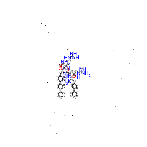 N=C(N)NCCC[C@H](NC(=O)[C@H](Cc1ccc(-c2ccc(-c3ccccc3)cc2)cc1)NC(=O)[C@H](CCCNC(=N)N)NC(=O)[C@@H](N)Cc1ccc(-c2ccccc2)cc1)C(N)=O